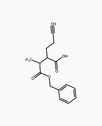 C#CCCC(C(=O)O)N(C)C(=O)OCc1ccccc1